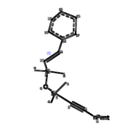 CCCCCC#C[Si](C)(C)O[Si](C)(C)/C=C/c1ccccc1